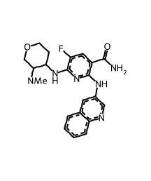 CNC1COCCC1Nc1nc(Nc2cnc3ccccc3c2)c(C(N)=O)cc1F